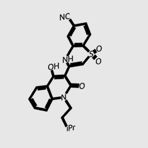 CC(C)CCn1c(=O)c(C2=CS(=O)(=O)c3ccc(C#N)cc3N2)c(O)c2ccccc21